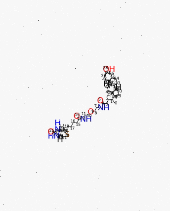 CC(CCC(=O)NCCOCCNC(=O)CCCC[C@@H]1SC[C@@H]2NC(=O)N[C@@H]21)[C@H]1CC[C@H]2C3CC=C4C[C@@H](O)CC[C@]4(C)[C@H]3CC[C@]12C